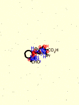 CC[C@H](C)[C@H](NC(=O)C(CO)NC(=O)[C@H](CCC(=O)O)NC(=O)C(CC(C)C)NN)C(=O)NC(CC(C)C)C(=O)C(=O)[C@H](CCCNC(=N)N)N[C@]1(C)CCCCCC/C=C/CCC[C@@](C)(C(=O)N[C@@H](C)C=O)NC(=O)CC1=O